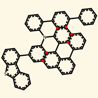 c1ccc(-c2ccc(-c3ccccc3N(c3cccc(-c4cccc5sc6ccccc6c45)c3)c3ccccc3-c3cccc4cccc(-c5ccccc5)c34)cc2)cc1